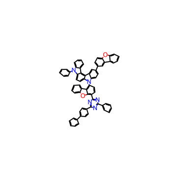 c1ccc(-c2ccc(-c3nc(-c4ccccc4)nc(-c4ccc(-n5c6ccc(-c7ccc8oc9ccccc9c8c7)cc6c6c7c8ccccc8n(-c8ccccc8)c7ccc65)c5c4oc4ccccc45)n3)cc2)cc1